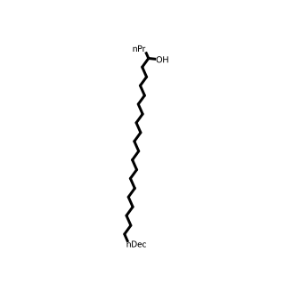 CCCCCCCCCCCCCCCCCCCCCCCCCCCCCC(O)CCC